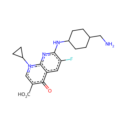 NCC1CCC(Nc2nc3c(cc2F)c(=O)c(C(=O)O)cn3C2CC2)CC1